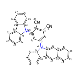 N#Cc1cc(-n2c3ccccc3c3cc4ccccc4cc32)cc(-n2c3ccccc3c3ccccc32)c1C#N